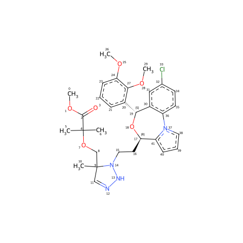 COC(=O)C(C)(C)OCC1(C)C=NNN1CC[C@H]1O[C@H](c2cccc(OC)c2OC)c2cc(Cl)ccc2-n2cccc21